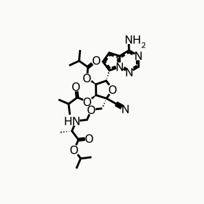 CC(C)OC(=O)[C@H](C)NCOC[C@@]1(C#N)O[C@@H](c2ccc3c(N)ncnn23)[C@H](OC(=O)C(C)C)[C@@H]1OC(=O)C(C)C